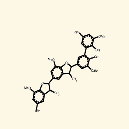 CCCc1cc(OC)c(O)c(-c2cc(C3Oc4c(OC)cc(C5Oc6c(OC)cc(CCC)cc6C5C)cc4C3C)cc(OC)c2O)c1